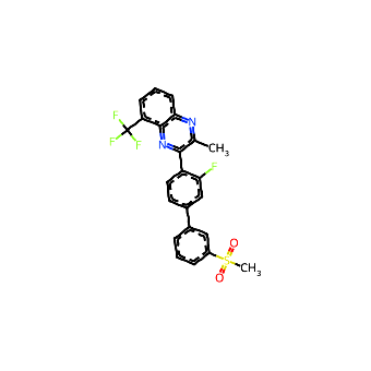 Cc1nc2cccc(C(F)(F)F)c2nc1-c1ccc(-c2cccc(S(C)(=O)=O)c2)cc1F